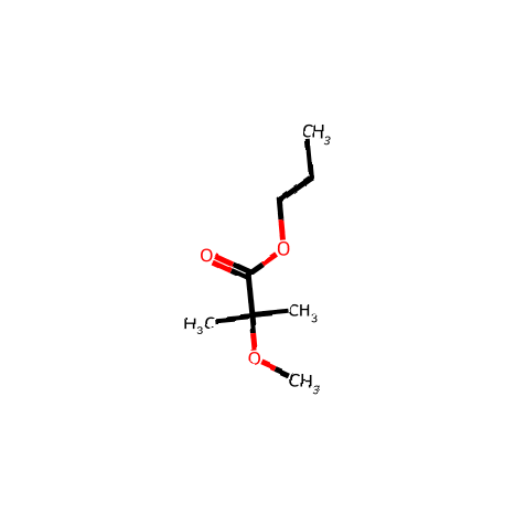 CCCOC(=O)C(C)(C)OC